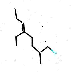 CC/C=C(\CC)CCC(C)CF